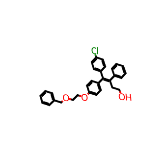 OCC/C(=C(/c1ccc(Cl)cc1)c1ccc(OCCOCc2ccccc2)cc1)c1ccccc1